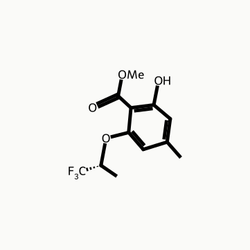 COC(=O)c1c(O)cc(C)cc1O[C@H](C)C(F)(F)F